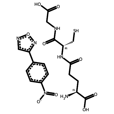 N[C@@H](CCC(=O)N[C@@H](CS)C(=O)NCC(=O)O)C(=O)O.O=[N+]([O-])c1ccc(-c2cnon2)cc1